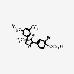 O=C(O)c1ccc(C2=NCC(c3cc(C(F)(F)F)cc(C(F)(F)F)c3)(C(F)(F)F)C2Br)cc1Br